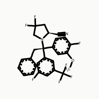 COc1cc([C@](Cc2ccccc2)(c2cc(F)cc(C(F)(F)F)c2)N2CC(F)(F)C[C@H]2C#N)ccc1F